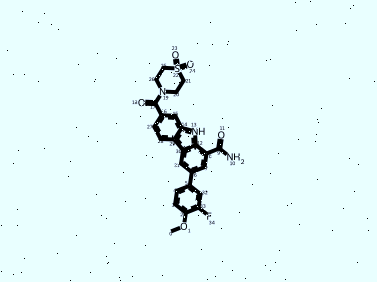 COc1ccc(-c2cc(C(N)=O)c3[nH]c4cc(C(=O)N5CCS(=O)(=O)CC5)ccc4c3c2)cc1F